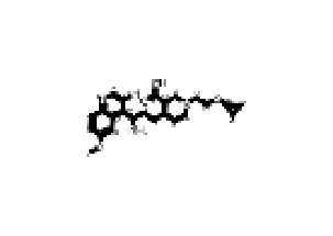 COc1ccc2ncc(Cl)c(C(N)CCC3CCN(CCSC4CC4)CC3C(=O)O)c2c1